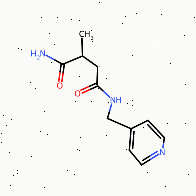 CC([CH]C(=O)NCc1ccncc1)C(N)=O